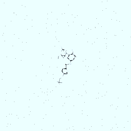 C[C@@]1(c2cc(NC(=O)c3ccc(OCC(F)(F)F)cn3)ccc2F)N=C(N)S[C@@]2(CF)C[C@H]21